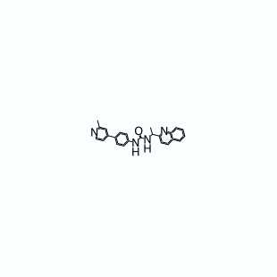 Cc1cc(-c2ccc(NC(=O)NC(C)c3ccc4ccccc4n3)cc2)ccn1